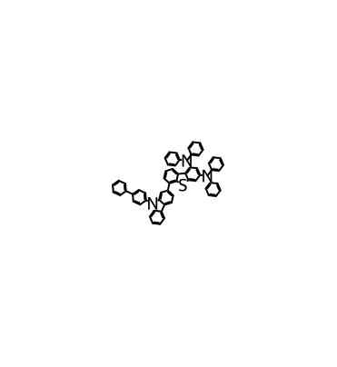 c1ccc(-c2ccc(-n3c4ccccc4c4ccc(-c5cccc6c5sc5cc(N(c7ccccc7)c7ccccc7)cc(N(c7ccccc7)c7ccccc7)c56)cc43)cc2)cc1